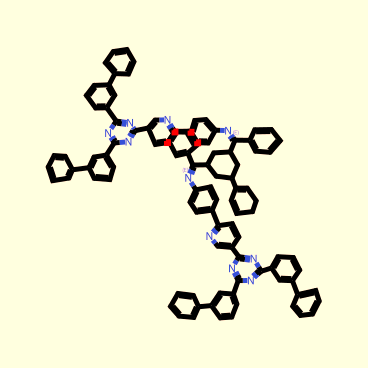 C1=CC(C2CC(/C(=N\c3ccc(-c4ccc(-c5nc(-c6cccc(-c7ccccc7)c6)nc(-c6cccc(-c7ccccc7)c6)n5)cn4)cc3)c3ccccc3)CC(/C(=N\c3ccc(-c4ccc(-c5nc(-c6cccc(-c7ccccc7)c6)nc(-c6cccc(-c7ccccc7)c6)n5)cn4)cc3)c3ccccc3)C2)=CCC1